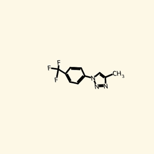 Cc1cn(-c2ccc(C(F)(F)F)cc2)nn1